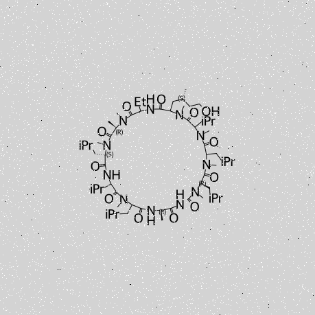 CCC1NC(=O)C(C[C@H](C)CCO)N(C)C(=O)C(C(C)C)N(C)C(=O)C(CC(C)C)N(C)C(=O)[C@@H](CC(C)C)N(C)C(=O)NC(=O)[C@@H](C)NC(=O)C(CC(C)C)N(C)C(=O)C(C(C)C)NC(=O)[C@H](CC(C)C)N(C)C(=O)[C@@H](C)N(C)C1=O